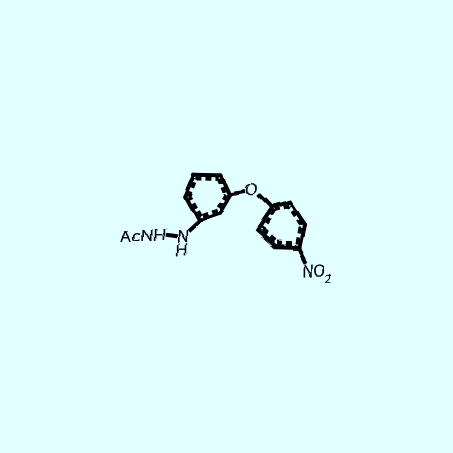 CC(=O)NNc1cccc(Oc2ccc([N+](=O)[O-])cc2)c1